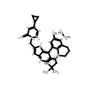 CC1(C)C[C@H](N2CCCc3cc(C#N)cc(-c4ccnc5cc(Cn6ncc(C7CC7)cc6=O)sc45)c32)CN1.O=CO